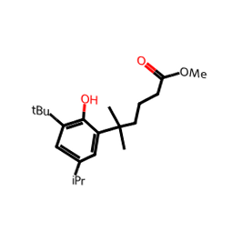 COC(=O)CCCC(C)(C)c1cc(C(C)C)cc(C(C)(C)C)c1O